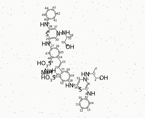 CC(CO)NN1C=C(Nc2ccccc2)SC(Nc2ccc(C=Cc3ccc(NC4=CN(NC(C)CO)C=C(Nc5ccccc5)S4)cc3S(=O)(=O)O)c(S(=O)(=O)O)c2)=C1.[NaH].[NaH]